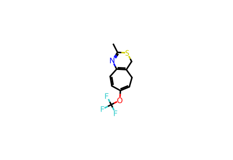 CC1=NC2=C(CC=C(OC(F)(F)F)C=C2)CS1